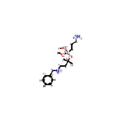 CO[Si](CCCN)(OC)OC(C)(C)CCNCc1ccccc1